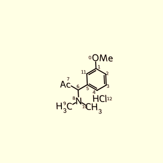 COc1cccc(C(C(C)=O)N(C)C)c1.Cl